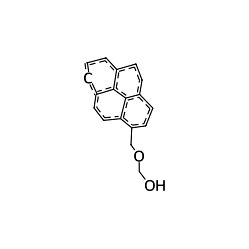 OCOCc1ccc2ccc3cccc4ccc1c2c34